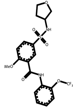 COc1ccc(S(=O)(=O)NC2CCOC2)cc1C(=O)Nc1ccccc1OC(F)(F)F